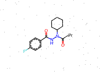 CC(C)C(=O)N(NC(=O)c1ccc(F)cc1)C1CCCCC1